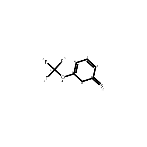 FC(F)(F)OC1=C[C]=CC(=S)C1